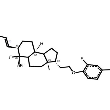 C/C=C/[C@H]1CC[C@H]2C3CC[C@H](CCOc4ccc(C#N)cc4F)[C@@]3(C)CCC2[C@@]1(F)CCC